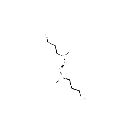 CN(CCCN)/N=N/N(C)CCCO